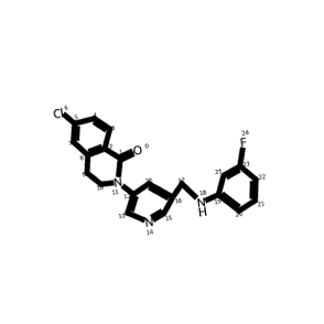 O=C1c2ccc(Cl)cc2CCN1c1cncc(CNc2cccc(F)c2)c1